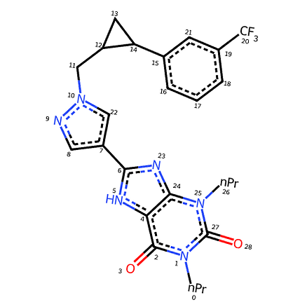 CCCn1c(=O)c2[nH]c(-c3cnn(CC4CC4c4cccc(C(F)(F)F)c4)c3)nc2n(CCC)c1=O